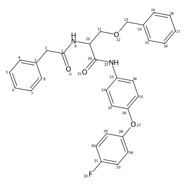 O=C(Cc1ccccc1)NC(COCc1ccccc1)C(=O)Nc1ccc(Oc2ccc(F)cc2)cc1